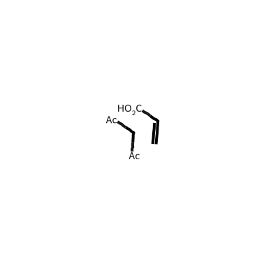 C=CC(=O)O.CC(=O)CC(C)=O